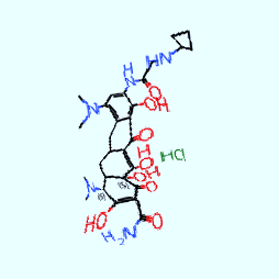 CN(C)c1cc(NC(=O)CNC2CCC2)c(O)c2c1CC1CC3[C@H](N(C)C)C(O)=C(C(N)=O)C(=O)[C@@]3(O)C(O)=C1C2=O.Cl